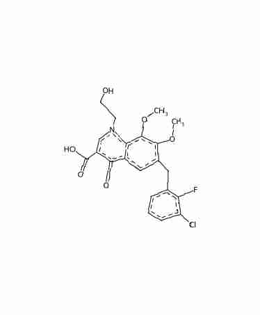 COc1c(Cc2cccc(Cl)c2F)cc2c(=O)c(C(=O)O)cn(CCO)c2c1OC